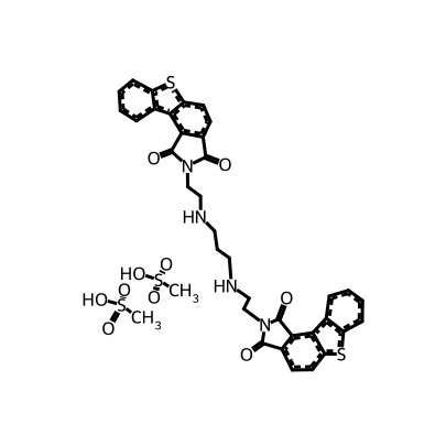 CS(=O)(=O)O.CS(=O)(=O)O.O=C1c2ccc3sc4ccccc4c3c2C(=O)N1CCNCCCNCCN1C(=O)c2ccc3sc4ccccc4c3c2C1=O